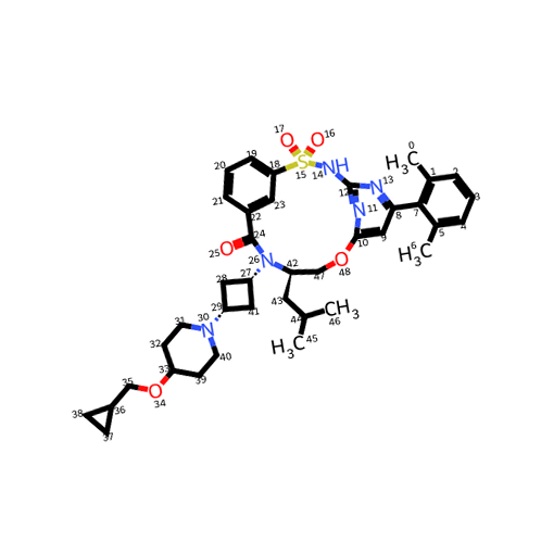 Cc1cccc(C)c1-c1cc2nc(n1)NS(=O)(=O)c1cccc(c1)C(=O)N([C@H]1C[C@@H](N3CCC(OCC4CC4)CC3)C1)[C@H](CC(C)C)CO2